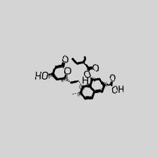 CCC(C)C(=O)O[C@H]1C[C@@H](C(=O)O)C=C2C=C[C@H](C)[C@H](CC[C@@H]3C[C@@H](O)CC(=O)O3)[C@H]21